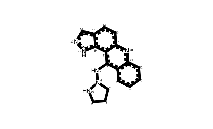 c1ccc2c(NN3CCCN3)c3c(ccc4cn[nH]c43)nc2c1